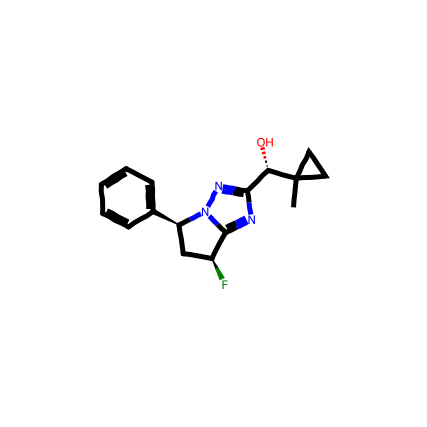 CC1([C@@H](O)c2nc3n(n2)[C@H](c2ccccc2)C[C@@H]3F)CC1